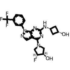 O[C@@H]1CN(c2nc(N[C@H]3C[C@@H](O)C3)nc3c2cnn3-c2cccc(C(F)(F)F)c2)C[C@H]1F